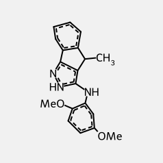 COc1ccc(OC)c(Nc2[nH]nc3c2C(C)c2ccccc2-3)c1